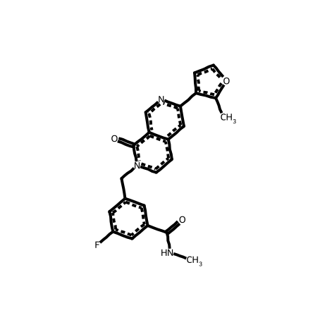 CNC(=O)c1cc(F)cc(Cn2ccc3cc(-c4ccoc4C)ncc3c2=O)c1